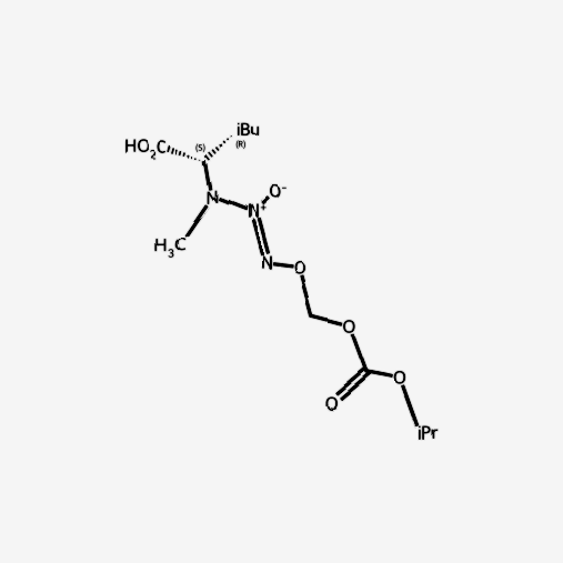 CC[C@@H](C)[C@@H](C(=O)O)N(C)[N+]([O-])=NOCOC(=O)OC(C)C